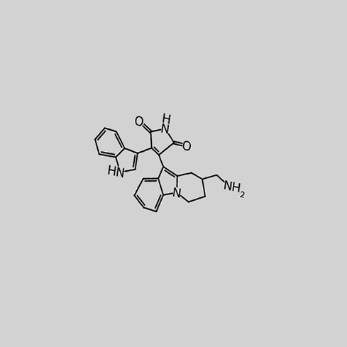 NCC1CCn2c(c(C3=C(c4c[nH]c5ccccc45)C(=O)NC3=O)c3ccccc32)C1